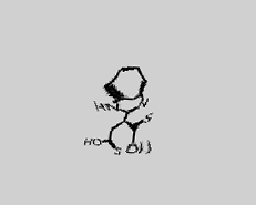 OC(=S)CC(C(O)=S)c1nc2ccccc2[nH]1